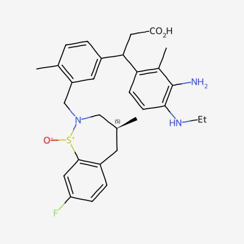 CCNc1ccc(C(CC(=O)O)c2ccc(C)c(CN3C[C@@H](C)Cc4ccc(F)cc4[S+]3[O-])c2)c(C)c1N